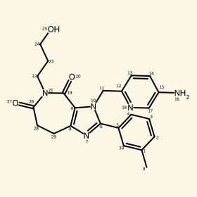 Cc1cccc(-c2nc3c(n2Cc2ccc(N)cn2)C(=O)N(CCCO)C(=O)CC3)c1